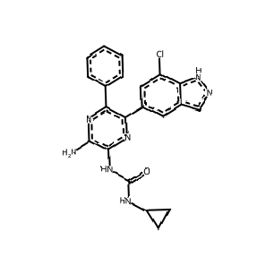 Nc1nc(-c2ccccc2)c(-c2cc(Cl)c3[nH]ncc3c2)nc1NC(=O)NC1CC1